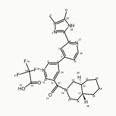 Cc1nc(-c2cc(-c3cncc(C(=O)N4CC[C@H]5CCCC[C@@H]5C4)c3)ccn2)[nH]c1C.O=C(O)C(F)(F)F